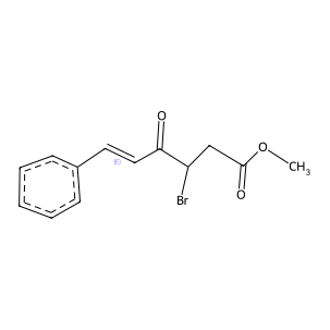 COC(=O)CC(Br)C(=O)/C=C/c1ccccc1